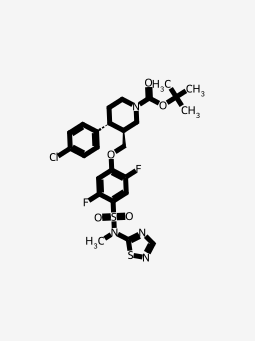 CN(c1ncns1)S(=O)(=O)c1cc(F)c(OC[C@@H]2CN(C(=O)OC(C)(C)C)CC[C@H]2c2ccc(Cl)cc2)cc1F